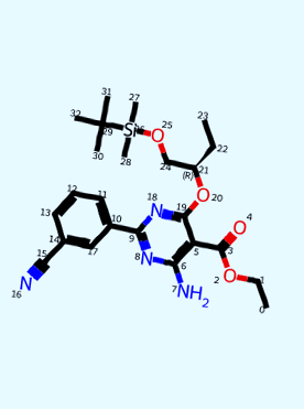 CCOC(=O)c1c(N)nc(-c2cccc(C#N)c2)nc1O[C@H](CC)CO[Si](C)(C)C(C)(C)C